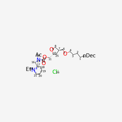 CCCCCCCCCCCCCCOC[C@@H]1CO[C@@H](COC(=O)N(Cc2cccc[n+]2CC)C(C)=O)C1.[Cl-]